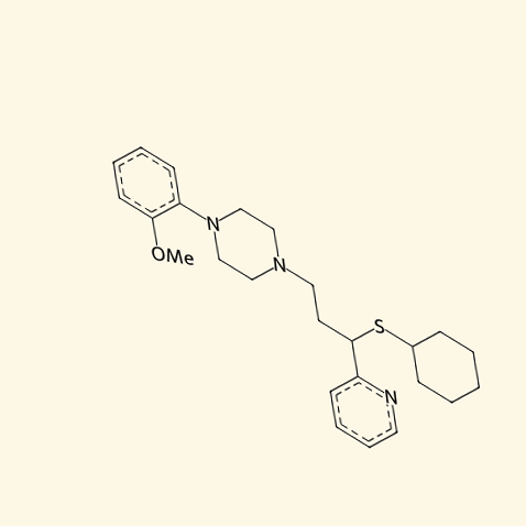 COc1ccccc1N1CCN(CCC(SC2CCCCC2)c2ccccn2)CC1